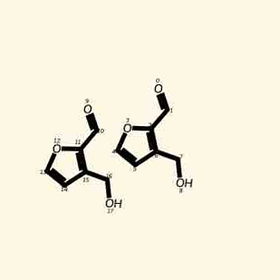 O=Cc1occc1CO.O=Cc1occc1CO